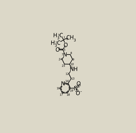 CC(C)(C)OC(=O)N1CCC(NCCc2ncccc2[N+](=O)[O-])CC1